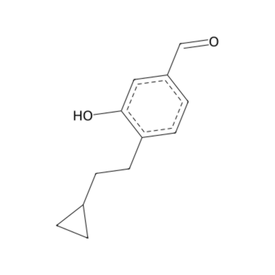 O=Cc1ccc(CCC2CC2)c(O)c1